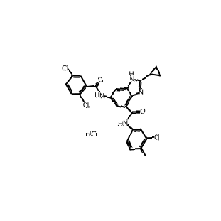 Cc1ccc(NC(=O)c2cc(NC(=O)c3cc(Cl)ccc3Cl)cc3[nH]c(C4CC4)nc23)cc1Cl.Cl